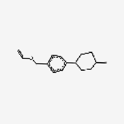 C=COCc1ccc(C2CCC(C)CC2)cc1